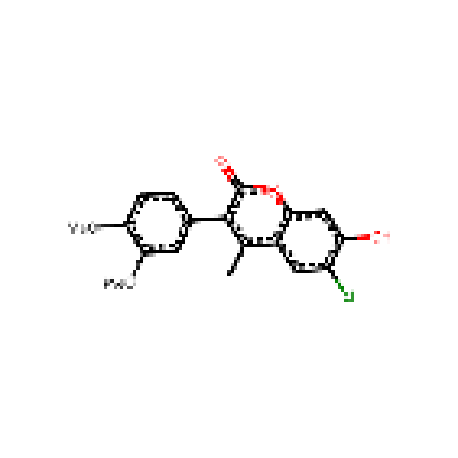 COc1ccc(-c2c(C)c3cc(Cl)c(O)cc3oc2=O)cc1OC